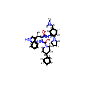 C[C@H](c1c[nH]c2ccccc12)[C@@H](NC(=O)N1CCC(c2ccccc2)CC1)C(=O)Nc1cc(CN(C)C)ccc1N1CCCC1